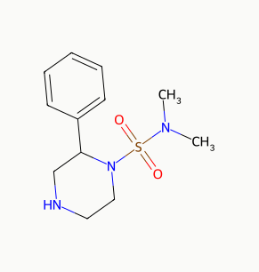 CN(C)S(=O)(=O)N1CCNCC1c1ccccc1